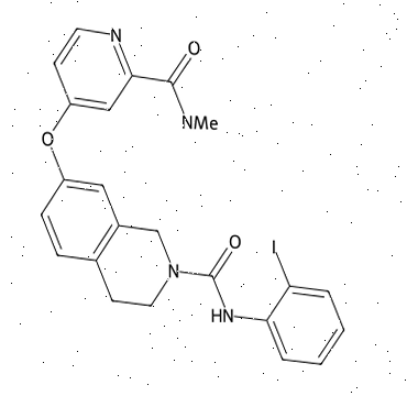 CNC(=O)c1cc(Oc2ccc3c(c2)CN(C(=O)Nc2ccccc2I)CC3)ccn1